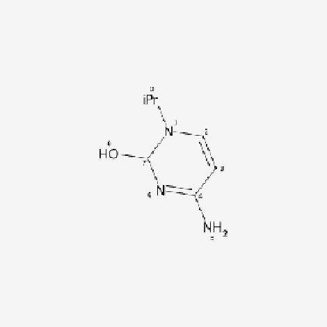 CC(C)N1C=CC(N)=NC1O